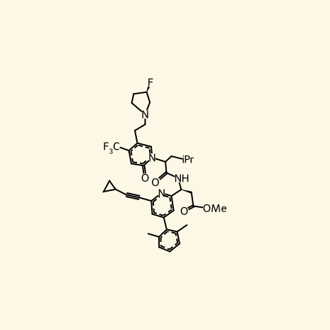 COC(=O)C[C@H](NC(=O)C(CC(C)C)n1cc(CCN2CC[C@@H](F)C2)c(C(F)(F)F)cc1=O)c1cc(-c2c(C)cccc2C)cc(C#CC2CC2)n1